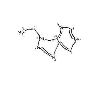 CCn1nnc2cncnc21